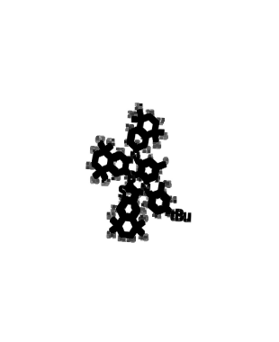 Cc1cc2c3c(c1)N(C1C=CC4=C(C1)C(C)(C)CCC4(C)C)C1C=C4C(=CC1B3c1sc3cc5c(cc3c1N2c1ccc(C(C)(C)C)cc1C)C(C)(C)CCC5(C)C)C(C)(C)CCC4(C)C